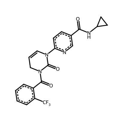 O=C(NC1CC1)c1ccc(N2C=CCN(C(=O)c3ccccc3C(F)(F)F)C2=O)nc1